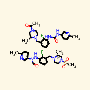 CC(=O)N1CCN(Cc2cccc(NC(=O)Nc3ccc(C)nc3)c2F)[C@H](C)C1.Cc1ccc(N(C=O)Nc2cccc(CN3CCN(S(C)(=O)=O)C[C@H]3C)c2F)cn1